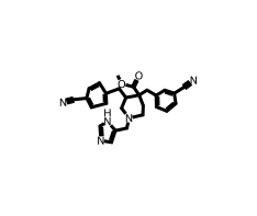 COC(=O)C1(Cc2cccc(C#N)c2)CCN(Cc2cnc[nH]2)CC1Cc1ccc(C#N)cc1